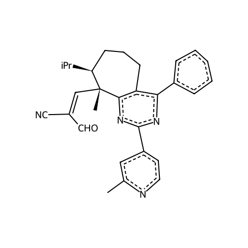 Cc1cc(-c2nc(-c3ccccc3)c3c(n2)[C@](C)(/C=C(/C#N)C=O)[C@@H](C(C)C)CCC3)ccn1